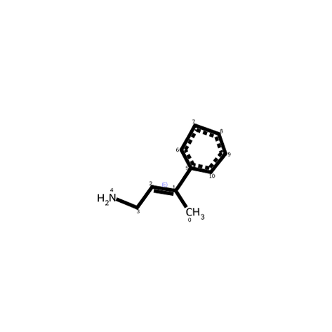 C/C(=C\CN)c1ccccc1